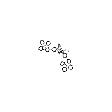 C[Si](C)(O[Si](C)(C)c1ccc(-c2ccc3c(c2)C(c2ccccc2)(c2ccccc2)c2ccccc2-3)cc1)c1ccc(-c2ccc3c(c2)C(c2ccccc2)(c2ccccc2)c2ccccc2-3)cc1